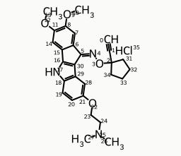 C#CC1(ON=C2c3cc(OC)c(OC)cc3-c3[nH]c4ccc(OCCN(C)C)cc4c32)CCCC1.Cl